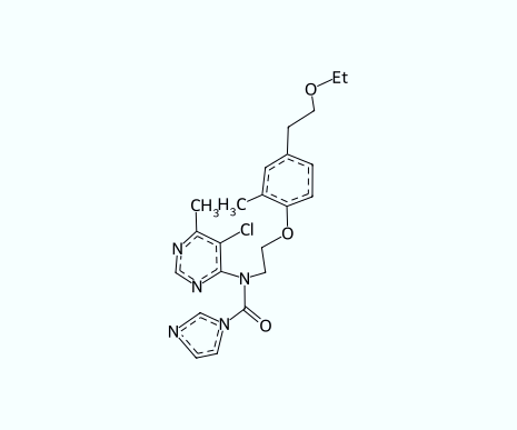 CCOCCc1ccc(OCCN(C(=O)n2ccnc2)c2ncnc(C)c2Cl)c(C)c1